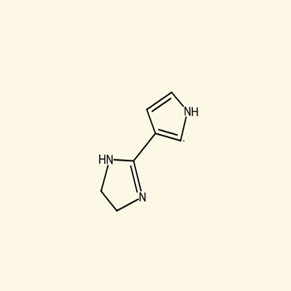 [c]1[nH]ccc1C1=NCCN1